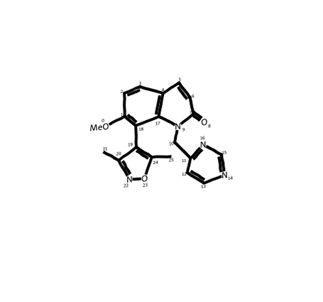 COc1ccc2ccc(=O)n(Cc3ccncn3)c2c1-c1c(C)noc1C